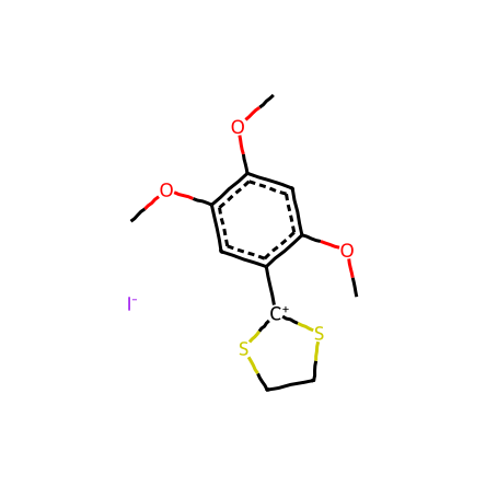 COc1cc(OC)c([C+]2SCCS2)cc1OC.[I-]